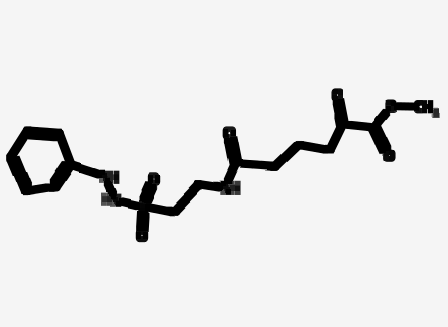 COC(=O)C(=O)CCCC(=O)NCCS(=O)(=O)NNc1ccccc1